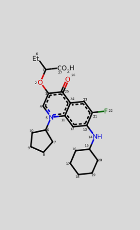 CCC(Oc1cn(C2CCCC2)c2cc(NC3CCCCC3)c(F)cc2c1=O)C(=O)O